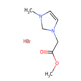 Br.COC(=O)CN1C=CN(C)C1